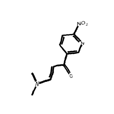 CN(C)C=CC(=O)c1ccc([N+](=O)[O-])nc1